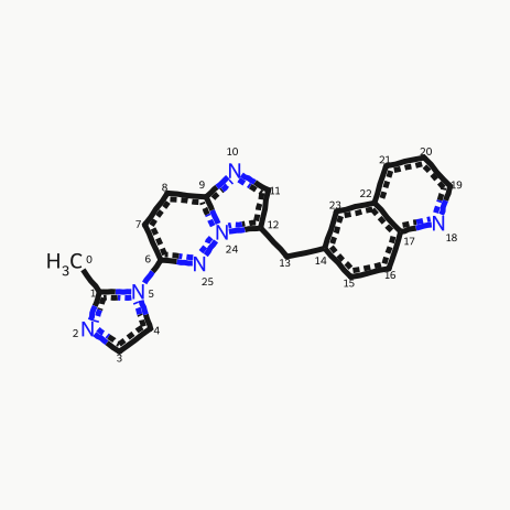 Cc1nccn1-c1ccc2ncc(Cc3ccc4ncccc4c3)n2n1